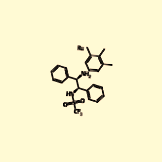 Cc1cccc(C)c1C.N[C@H](c1ccccc1)[C@H](NS(=O)(=O)C(F)(F)F)c1ccccc1.[Ru]